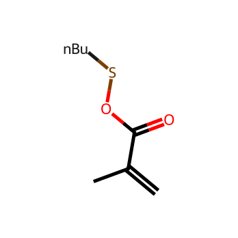 C=C(C)C(=O)OSCCCC